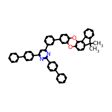 CC1(C)c2ccccc2-c2c1ccc1c2Oc2ccc(-c3cccc(-c4cc(-c5ccc(-c6ccccc6)cc5)nc(-c5ccc(-c6ccccc6)cc5)n4)c3)cc2O1